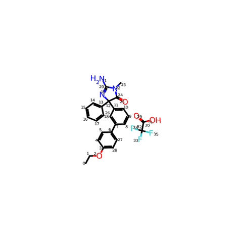 CCOc1ccc(-c2cccc(C3(c4ccccc4)N=C(N)N(C)C3=O)c2)cc1.O=C(O)C(F)(F)F